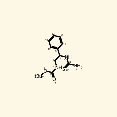 CC(C)(C)OC(=O)NCC(NC(N)=S)c1ccccc1